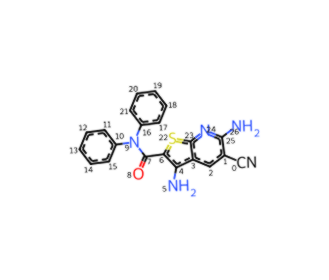 N#Cc1cc2c(N)c(C(=O)N(c3ccccc3)c3ccccc3)sc2nc1N